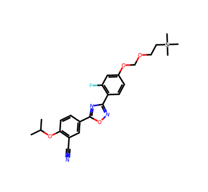 CC(C)Oc1ccc(-c2nc(-c3ccc(OCOCC[Si](C)(C)C)cc3F)no2)cc1C#N